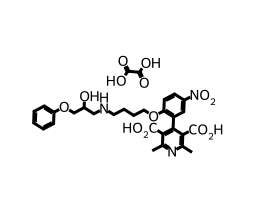 Cc1nc(C)c(C(=O)O)c(-c2cc([N+](=O)[O-])ccc2OCCCCNCC(O)COc2ccccc2)c1C(=O)O.O=C(O)C(=O)O